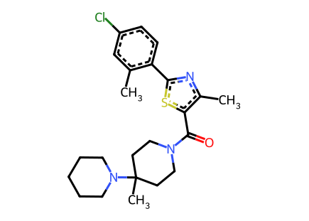 Cc1cc(Cl)ccc1-c1nc(C)c(C(=O)N2CCC(C)(N3CCCCC3)CC2)s1